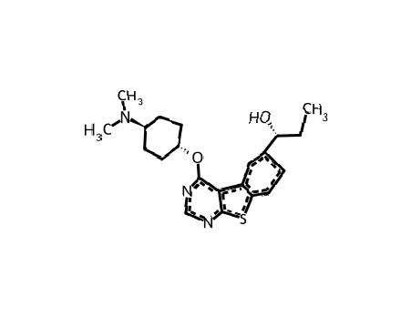 CC[C@@H](O)c1ccc2sc3ncnc(O[C@H]4CC[C@H](N(C)C)CC4)c3c2c1